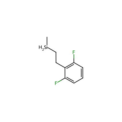 C[SiH2]CCc1c(F)cccc1F